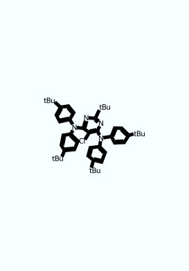 CC(C)(C)c1ccc(N(c2ccc(C(C)(C)C)cc2)c2nc(C(C)(C)C)nc(N(c3ccc(C(C)(C)C)cc3)c3ccc(C(C)(C)C)cc3)c2Cl)cc1